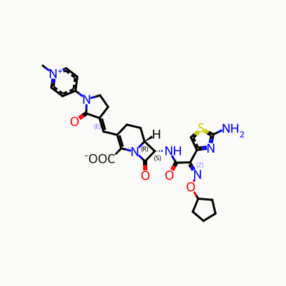 C[n+]1ccc(N2CC/C(=C\C3=C(C(=O)[O-])N4C(=O)[C@@H](NC(=O)/C(=N\OC5CCCC5)c5csc(N)n5)[C@H]4CC3)C2=O)cc1